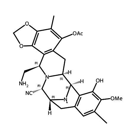 COc1c(C)cc2c(c1O)[C@@H]1[C@@H]3Cc4c(OC(C)=O)c(C)c5c(c4[C@H](CN)N3[C@@H](C#N)[C@@H](C2)N1C)OCO5